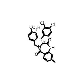 Cc1ccc2c(c1)NC(=O)[C@@H](Cc1ccc(Cl)c(Cl)c1)N(Cc1ccc(C(=O)O)cc1)C2=O